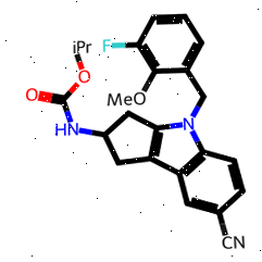 COc1c(F)cccc1Cn1c2c(c3cc(C#N)ccc31)CC(NC(=O)OC(C)C)C2